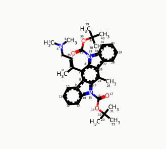 C/C(=C\CN(C)C)c1c2c3ccccc3n(C(=O)OC(C)(C)C)c2c(C)c2c3ccccc3n(C(=O)OC(C)(C)C)c12